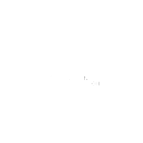 CC(=NO)c1ccc(C)c(C)c1